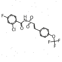 O=C(NS(=O)(=O)C=Cc1ccc(OC(F)(F)F)cc1)c1ccc(F)cc1Cl